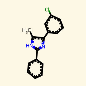 Cc1[nH]c(-c2ccccc2)nc1-c1cccc(Cl)c1